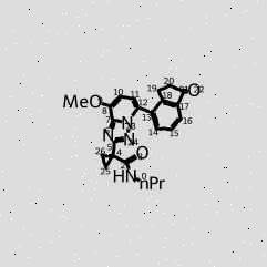 CCCNC(=O)C1(c2nc3c(OC)ccc(-c4cccc5c4CCC5=O)n3n2)CC1